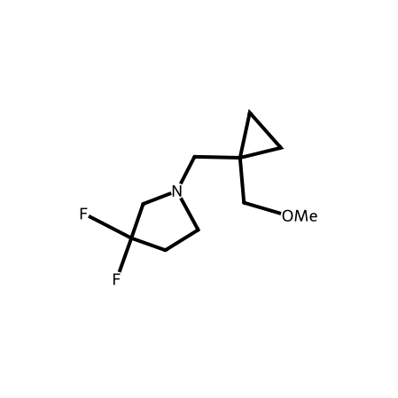 COCC1(CN2CCC(F)(F)C2)CC1